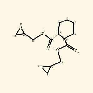 O=C(OCC1CO1)[C@@H]1CCCC[C@H]1C(=O)OCC1CO1